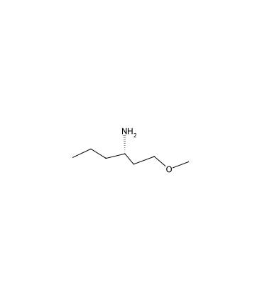 CCC[C@H](N)CCOC